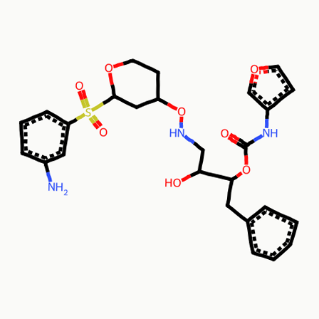 Nc1cccc(S(=O)(=O)C2CC(ONCC(O)C(Cc3ccccc3)OC(=O)Nc3ccoc3)CCO2)c1